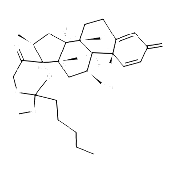 CCCCCC1(OC)OCC(=O)[C@@]2(O1)[C@@H](C)C[C@H]1[C@@H]3CCC4=CC(=O)C=C[C@]4(C)[C@@]3(F)[C@@H](O)C[C@@]12C